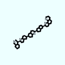 c1ccc2c(-c3ccc4cc(-c5ccc6nc(-c7ccc8cc(-c9ccc%10ccc%11cccnc%11c%10n9)ccc8c7)ccc6c5)ccc4n3)cncc2c1